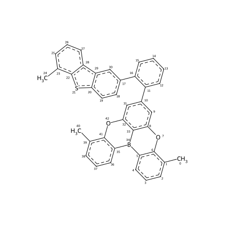 Cc1cccc2c1Oc1cc(-c3ccccc3-c3ccc4sc5c(C)cccc5c4c3)cc3c1B2c1cccc(C)c1O3